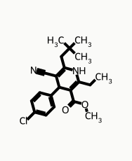 CCC1=C(C(=O)OC)C(c2ccc(Cl)cc2)C(C#N)=C(CC(C)(C)C)N1